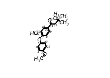 COc1ccc(Oc2ccc(C(=O)CC(C)(C)C)cc2)cc1.Cl